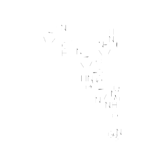 CCc1ccccc1[C@@H]1CCCN1C1CC2(CCN(c3ccc(C(=O)NS(=O)(=O)c4cnc(NCC5CCC(N=S6(=O)CCCC6)CO5)c([N+](=O)[O-])c4)c(Oc4cnc5[nH]ccc5c4)c3)CC2)C1